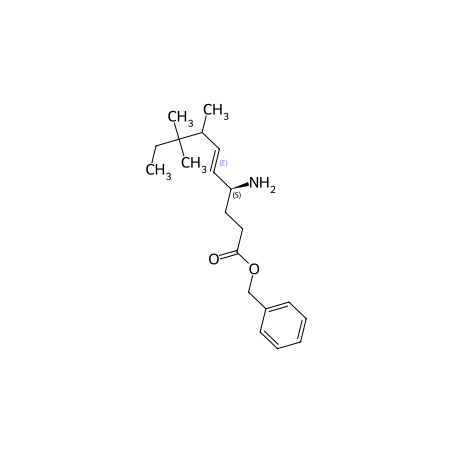 CCC(C)(C)C(C)/C=C/[C@@H](N)CCC(=O)OCc1ccccc1